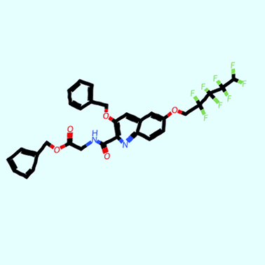 O=C(CNC(=O)c1nc2ccc(OCC(F)(F)C(F)(F)C(F)(F)C(F)F)cc2cc1OCc1ccccc1)OCc1ccccc1